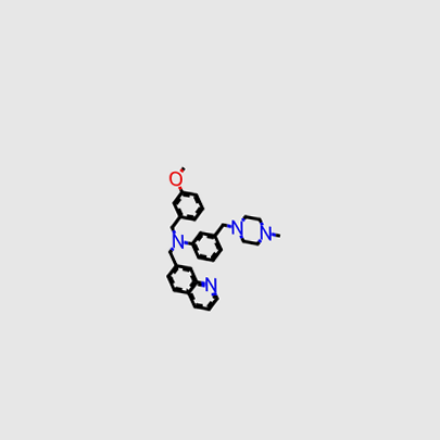 COc1cccc(CN(Cc2ccc3cccnc3c2)c2cccc(CN3CCN(C)CC3)c2)c1